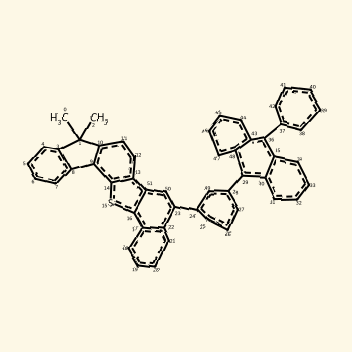 CC1(C)c2ccccc2-c2c1ccc1c2sc2c3ccccc3c(-c3cccc(-c4c5ccccc5c(-c5ccccc5)c5ccccc45)c3)cc12